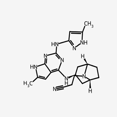 Cc1cc(Nc2nc(N[C@@H]3C[C@H]4CC[C@@H](C3)N4CCC#N)c3cc(C)[nH]c3n2)n[nH]1